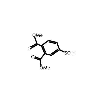 COC(=O)c1ccc(S(=O)(=O)O)cc1C(=O)OC